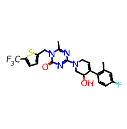 Cc1cc(F)ccc1C1=CCN(c2nc(C)n(Cc3ccc(C(F)(F)F)s3)c(=O)n2)CC1O